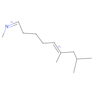 C/N=C\CCC/C=C(\C)CC(C)C